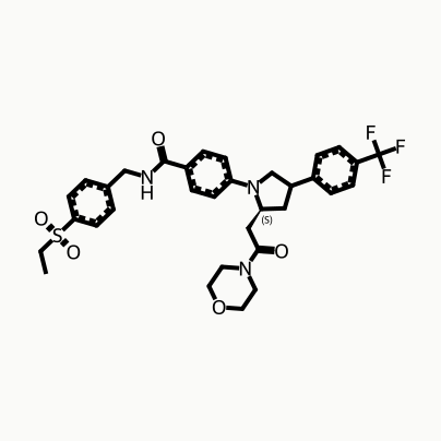 CCS(=O)(=O)c1ccc(CNC(=O)c2ccc(N3CC(c4ccc(C(F)(F)F)cc4)C[C@H]3CC(=O)N3CCOCC3)cc2)cc1